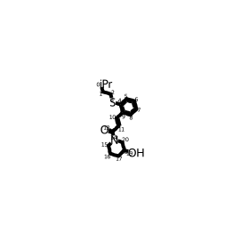 CC(C)CCSc1ccccc1C=CC(=O)N1CCCC(O)C1